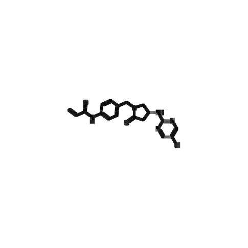 C=CC(=O)Nc1ccc(CN2CC(Nc3ncc(Cl)cn3)CC2=O)cc1